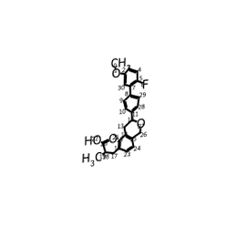 COc1ccc(F)c(-c2ccc(C3Cc4cc(CC(C)C(=O)O)ccc4CO3)cc2)c1